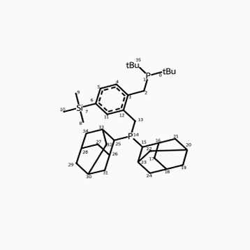 CC(C)(C)P(Cc1ccc([Si](C)(C)C)cc1CP(C1C2CC3CC(C2)CC1C3)C1C2CC3CC(C2)CC1C3)C(C)(C)C